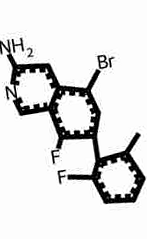 Cc1cccc(F)c1-c1cc(Br)c2cc(N)ncc2c1F